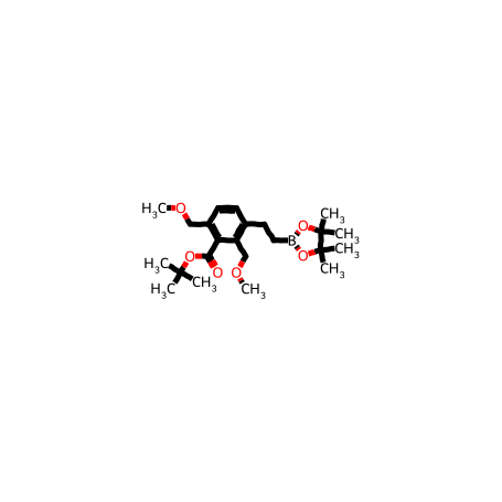 COCc1ccc(CCB2OC(C)(C)C(C)(C)O2)c(COC)c1C(=O)OC(C)(C)C